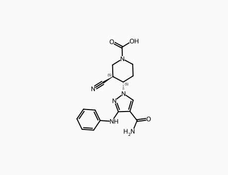 N#C[C@H]1CN(C(=O)O)CC[C@@H]1n1cc(C(N)=O)c(Nc2ccccc2)n1